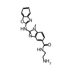 Cn1c(Nc2nc3ccccc3o2)nc2cc(C(=O)NCCN)ccc21